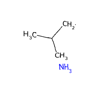 N.[CH2]C(C)C